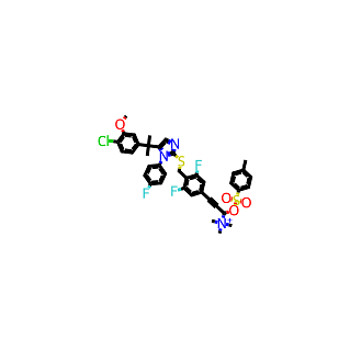 COc1cc(C(C)(C)c2cnc(SCc3c(F)cc(C#CC(OS(=O)(=O)c4ccc(C)cc4)[N+](C)(C)C)cc3F)n2-c2ccc(F)cc2)ccc1Cl